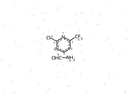 FC(F)(F)c1ccnc(Cl)n1.NC=O